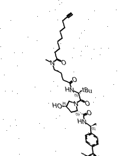 C#CCCCCCCCC(=O)N(C)CCCC(=O)N[C@H](C(=O)N1C[C@H](O)C[C@H]1C(=O)N[C@@H](C)c1ccc(-c2scnc2C)cc1)C(C)(C)C